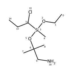 CCO[Si](C)(OC(C)(C)CN)C(Cl)CC